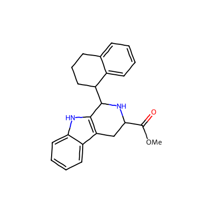 COC(=O)C1Cc2c([nH]c3ccccc23)C(C2CCCc3ccccc32)N1